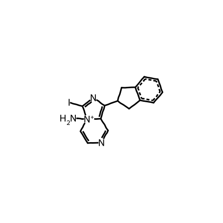 N[N+]12C=CN=CC1=C(C1Cc3ccccc3C1)N=C2I